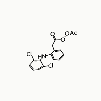 CC(=O)OOC(=O)Cc1ccccc1Nc1c(Cl)cccc1Cl